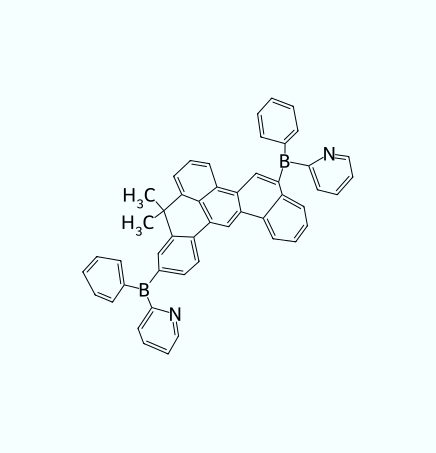 CC1(C)c2cc(B(c3ccccc3)c3ccccn3)ccc2-c2cc3c4ccccc4c(B(c4ccccc4)c4ccccn4)cc3c3cccc1c23